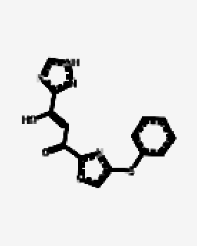 O=C(C=C(O)c1nc[nH]n1)c1nc(Sc2ccccc2)cs1